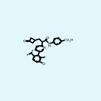 O=C1CC(CC(C(=O)Nc2ccc(C(=O)O)cc2)c2ccc(-c3c(C(F)F)ccc(Cl)c3F)cn2)C1